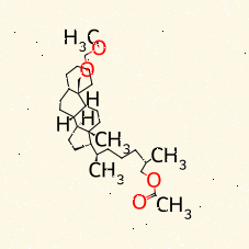 COCOC[C@]12CCCCC1CC[C@@H]1[C@@H]2CC[C@]2(C)[C@@H]([C@H](C)CCCC(C)COC(C)=O)CC[C@@H]12